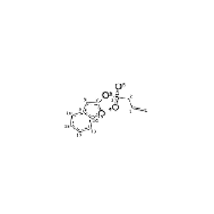 C=CCS(=O)(=O)Oc1cc2ccccc2o1